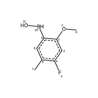 COc1cc(F)c(C)cc1BO